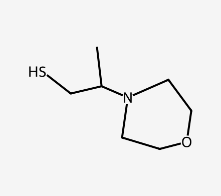 CC(CS)N1CCOCC1